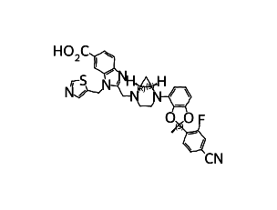 C[C@]1(c2ccc(C#N)cc2F)Oc2cccc(N3CCN(Cc4nc5ccc(C(=O)O)cc5n4Cc4cncs4)[C@@H]4C[C@@H]43)c2O1